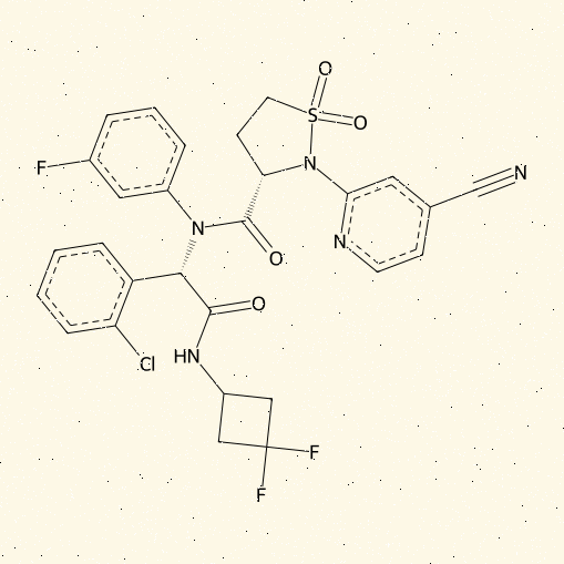 N#Cc1ccnc(N2[C@H](C(=O)N(c3cccc(F)c3)[C@H](C(=O)NC3CC(F)(F)C3)c3ccccc3Cl)CCS2(=O)=O)c1